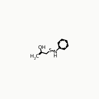 C=C(O)CSNc1ccccc1